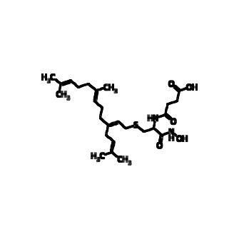 CC(C)=CCCC(C)=CCCC(=CCSCC(NC(=O)CCC(=O)O)C(=O)NO)CC=C(C)C